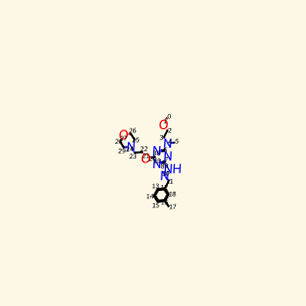 COCCN(C)c1nc(NN=Cc2cccc(C)c2)nc(OCCN2CCOCC2)n1